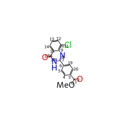 COC(=O)c1ccc(-c2nc3c(Cl)cccc3c(=O)[nH]2)cc1